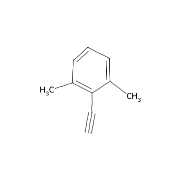 [C]#Cc1c(C)cccc1C